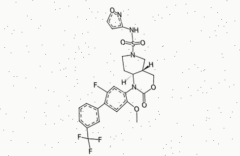 COc1cc(-c2cccc(C(F)(F)F)c2)c(F)cc1N1C(=O)OC[C@H]2CN(S(=O)(=O)Nc3ccon3)CC[C@@H]21